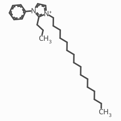 CCCCCCCCCCCCCCCC[n+]1ccn(-c2ccccc2)c1CCC